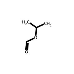 [CH2]C([CH2])OC=O